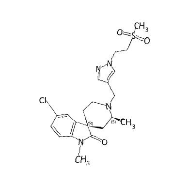 C[C@H]1C[C@@]2(CCN1Cc1cnn(CCS(C)(=O)=O)c1)C(=O)N(C)c1ccc(Cl)cc12